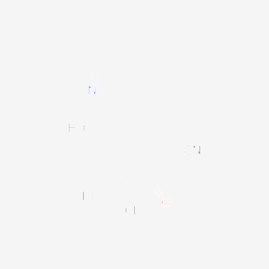 CC1(C)CC(C)(c2ccccn2)C=C(C#N)C1=O